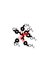 C=Cc1ccc(CCC(COc2ccc(C=C)cc2)(COc2ccc(C=C)cc2)OC(CCc2ccc(C=C)cc2)(COc2ccc(C=C)cc2)COc2ccc(C=C)cc2)cc1